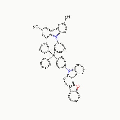 N#Cc1ccc2c(c1)c1cc(C#N)ccc1n2-c1cccc([Si](c2ccccc2)(c2ccccc2)c2ccc(-n3c4ccccc4c4c5oc6ccccc6c5ccc43)cc2)c1